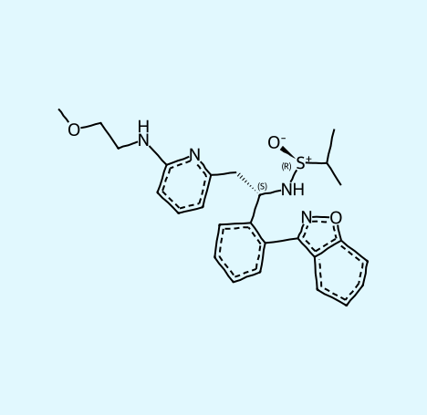 COCCNc1cccc(C[C@H](N[S@@+]([O-])C(C)C)c2ccccc2-c2noc3ccccc23)n1